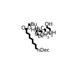 C=CC.C=CC.CCCCCCCCCCCCCCCCCC(=O)OCCCC.CCOCC.OCCO